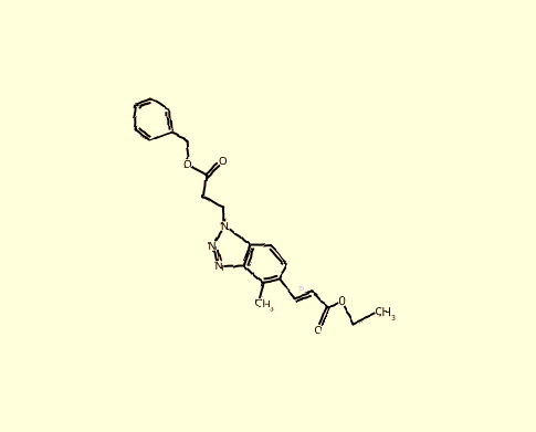 CCOC(=O)/C=C/c1ccc2c(nnn2CCC(=O)OCc2ccccc2)c1C